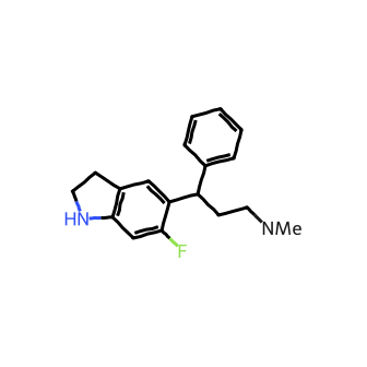 CNCCC(c1ccccc1)c1cc2c(cc1F)NCC2